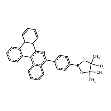 CC1(C)OB(c2ccc(-c3nc4c(c5ccccc35)-c3ccccc3C3C=CC=CC43)cc2)OC1(C)C